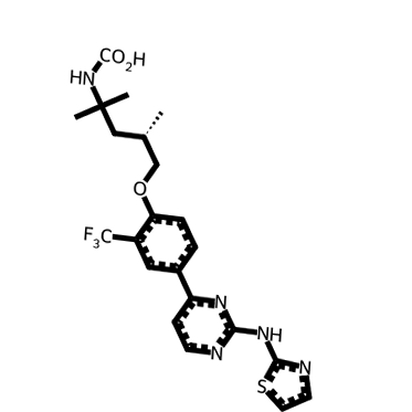 C[C@H](COc1ccc(-c2ccnc(Nc3nccs3)n2)cc1C(F)(F)F)CC(C)(C)NC(=O)O